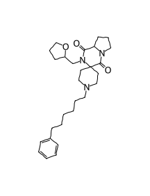 O=C1C2CCCN2C(=O)C2(CCN(CCCCCCc3ccccc3)CC2)N1CC1CCCO1